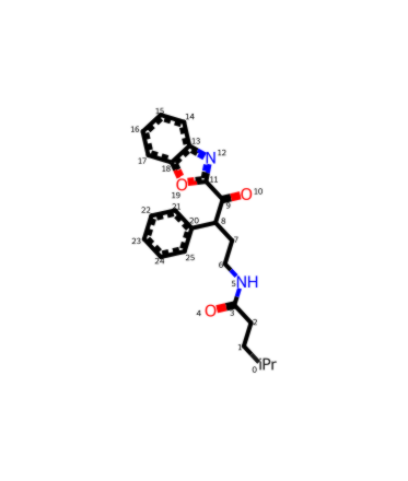 CC(C)CCC(=O)NCCC(C(=O)c1nc2ccccc2o1)c1ccccc1